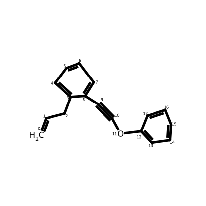 C=CCc1ccccc1C#COc1ccccc1